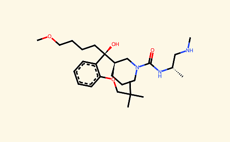 CNC[C@H](C)NC(=O)N1CCC[C@@H]([C@@](O)(CCCCOC)c2ccccc2OCC(C)(C)C)C1